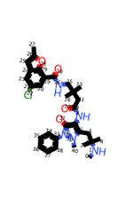 CNC(C)(C)Cc1c(NC(=O)CC(C)(C)CNC(=O)c2cc(Cl)cc3cc(C)oc23)c(=O)n(-c2ccccc2)n1C